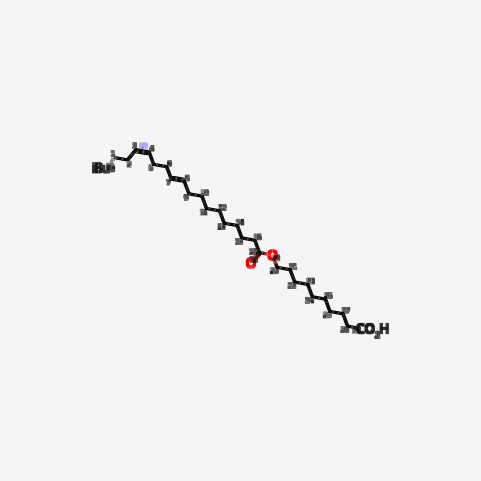 CC[C@@H](C)CC/C=C\CCC=CCCCCCCCCC(=O)OCCCCCCCCCC(=O)O